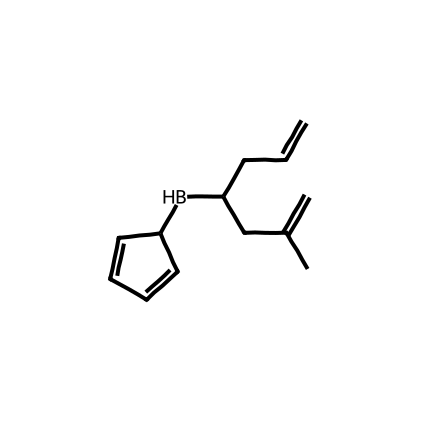 C=CCC(BC1C=CC=C1)CC(=C)C